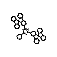 c1ccc(-c2nc(-c3ccc4c(c3)-c3ccccc3C43c4ccccc4-c4ccccc43)nc(-c3ccc4c(c3)C3(c5ccccc5-c5ccccc53)c3ccccc3-4)n2)cc1